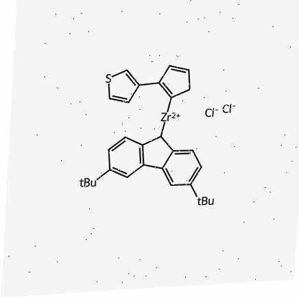 CC(C)(C)c1ccc2c(c1)-c1cc(C(C)(C)C)ccc1[CH]2[Zr+2][C]1=C(c2ccsc2)C=CC1.[Cl-].[Cl-]